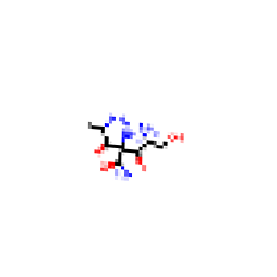 CC(N)C(=O)C(N)(C(N)=O)C(=O)C(N)CO